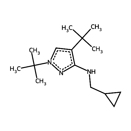 CC(C)(C)c1cn(C(C)(C)C)nc1NCC1CC1